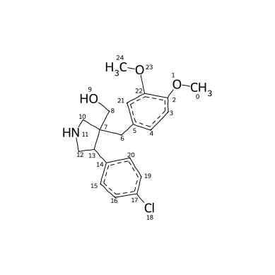 COc1ccc(CC2(CO)CNCC2c2ccc(Cl)cc2)cc1OC